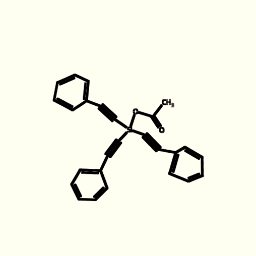 CC(=O)O[Si](C#Cc1ccccc1)(C#Cc1ccccc1)C#Cc1ccccc1